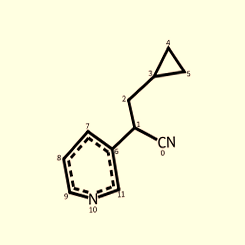 N#CC(CC1CC1)c1cccnc1